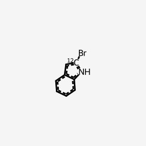 Br[12c]1cc2ccccc2[nH]1